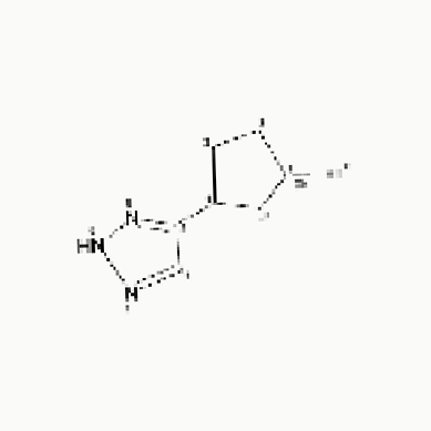 C[C@H]1CCC(c2cn[nH]n2)C1